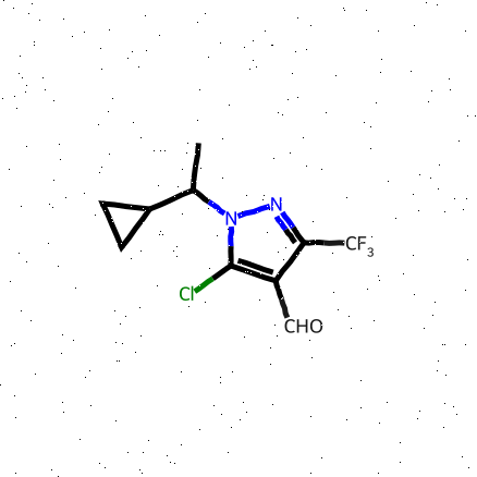 CC(C1CC1)n1nc(C(F)(F)F)c(C=O)c1Cl